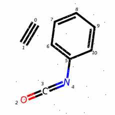 C#C.O=C=Nc1ccccc1